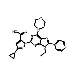 CCn1c(-c2ccncc2)nc2c(N3CCOCC3)nc(-n3nc(C4CC4)cc3C(=O)O)nc21